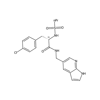 CCCS(=O)(=O)N[C@@H](Cc1ccc(Cl)cc1)C(=O)NCc1cnc2[nH]ccc2c1